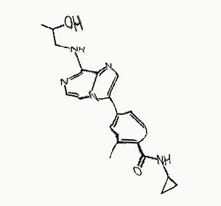 Cc1cc(-c2cnc3c(NCC(C)O)nccn23)ccc1C(=O)NC1CC1